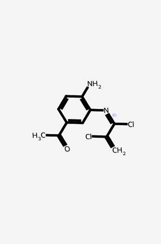 C=C(Cl)/C(Cl)=N\c1cc(C(C)=O)ccc1N